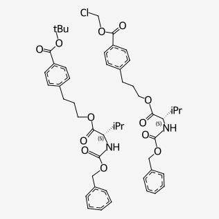 CC(C)[C@H](NC(=O)OCc1ccccc1)C(=O)OCCCc1ccc(C(=O)OC(C)(C)C)cc1.CC(C)[C@H](NC(=O)OCc1ccccc1)C(=O)OCCCc1ccc(C(=O)OCCl)cc1